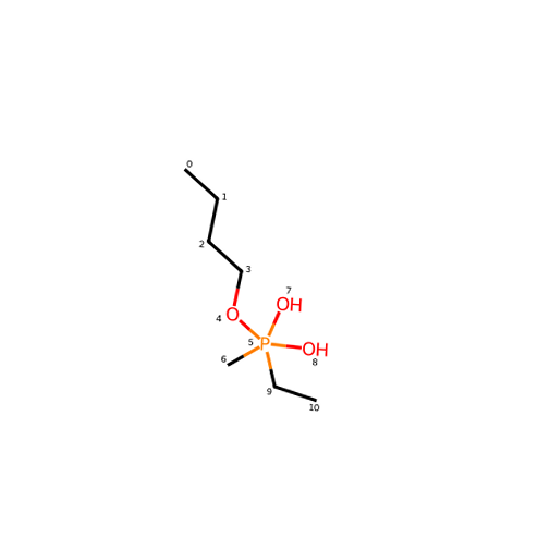 CCCCOP(C)(O)(O)CC